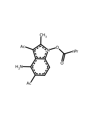 CCCC(=O)On1c(C)c(C(C)=O)c2c(N)c(C(C)=O)ccc21